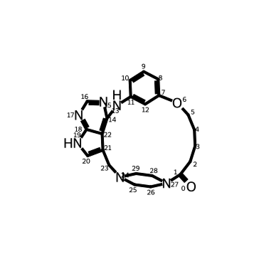 O=C1CCCCOc2cccc(c2)Nc2ncnc3[nH]cc(c23)CN2CCN1CC2